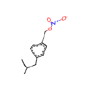 CC(C)Cc1ccc(CO[N+](=O)[O-])cc1